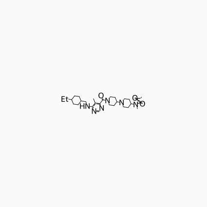 CCC1CCC(CNc2ncnc(C(=O)N3CCC(N4CCC(N(C)S(C)(=O)=O)CC4)CC3)c2C)CC1